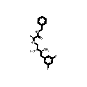 C[C@H](NC[C@@H](O)[C@@H](N)Cc1cc(F)cc(F)c1)C(=O)NCc1ccccc1